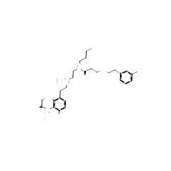 CCCCN(CCNCCc1ccc(O)c2c1OCC(=O)N2)C(=O)CCOCCc1cccc(C)c1